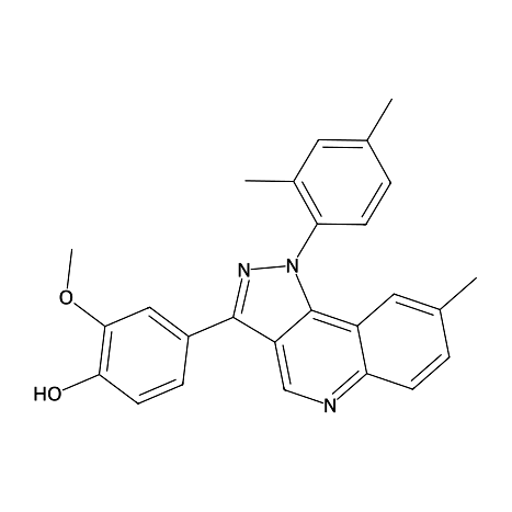 COc1cc(-c2nn(-c3ccc(C)cc3C)c3c2cnc2ccc(C)cc23)ccc1O